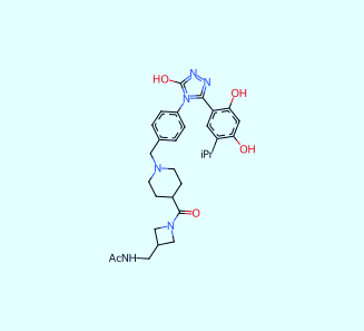 CC(=O)NCC1CN(C(=O)C2CCN(Cc3ccc(-n4c(O)nnc4-c4cc(C(C)C)c(O)cc4O)cc3)CC2)C1